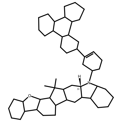 CC1(C)C2C[C@H]3C(CC2C2CCC4C5CCCCC5OC4C21)C1CCCCC1N3C1CCC=C(C2CCC3C4CCCCC4C4CCCCC4C3C2)C1